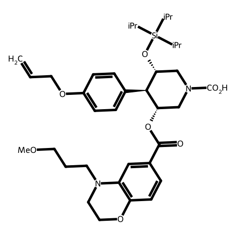 C=CCOc1ccc([C@@H]2[C@@H](OC(=O)c3ccc4c(c3)N(CCCOC)CCO4)CN(C(=O)O)C[C@H]2O[Si](C(C)C)(C(C)C)C(C)C)cc1